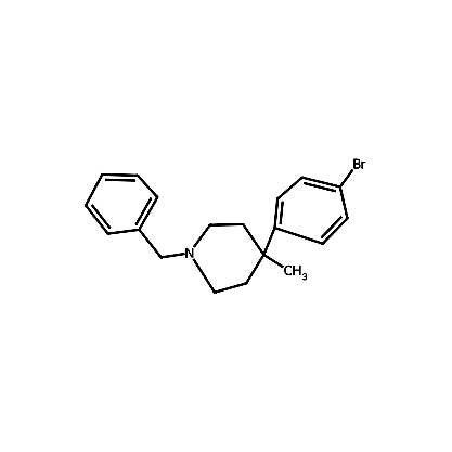 CC1(c2ccc(Br)cc2)CCN(Cc2ccccc2)CC1